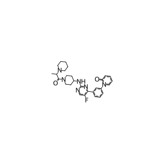 CC(C(=O)N1CCC(Nc2ncc(F)c(-c3cccc(-n4ccccc4=O)c3)n2)CC1)N1CCCCC1